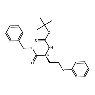 CC(C)(C)OC(=O)N[C@@H](CCSc1ccccc1)C(=O)OCc1ccccc1